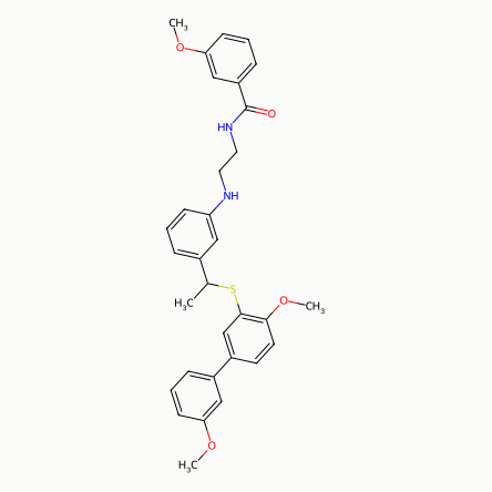 COc1cccc(C(=O)NCCNc2cccc(C(C)Sc3cc(-c4cccc(OC)c4)ccc3OC)c2)c1